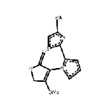 CCCCc1csc(-c2cccn2C2=C(OC)COC2=O)n1